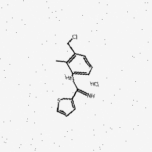 Cc1c(CCl)cccc1NC(=N)c1cccs1.Cl